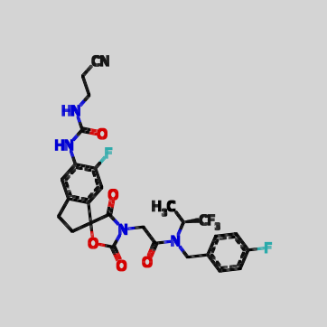 C[C@H](N(Cc1ccc(F)cc1)C(=O)CN1C(=O)OC2(CCc3cc(NC(=O)NCCC#N)c(F)cc32)C1=O)C(F)(F)F